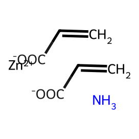 C=CC(=O)[O-].C=CC(=O)[O-].N.[Zn+2]